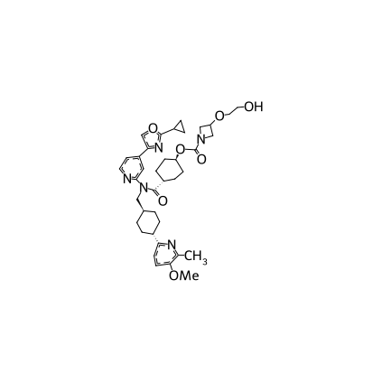 COc1ccc([C@H]2CC[C@H](CN(c3cc(-c4coc(C5CC5)n4)ccn3)C(=O)[C@H]3CC[C@H](OC(=O)N4CC(OCCO)C4)CC3)CC2)nc1C